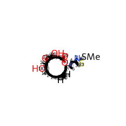 CSc1nc(/C=C(\C)[C@@H]2C[C@@H]3C[C@H]3CCC[C@H](C)[C@H](O)[C@@H](C)C(=O)C(C)(C)[C@@H](O)CC(=O)O2)cs1